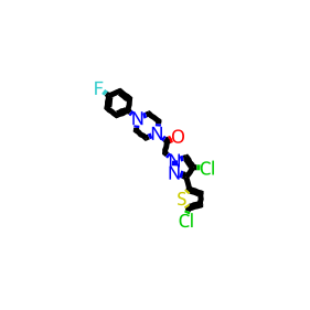 O=C(Cn1cc(Cl)c(-c2ccc(Cl)s2)n1)N1CCN(c2ccc(F)cc2)CC1